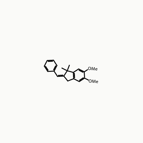 COc1cc2c(cc1OC)C(C)(C)C(=Cc1ccccc1)C2